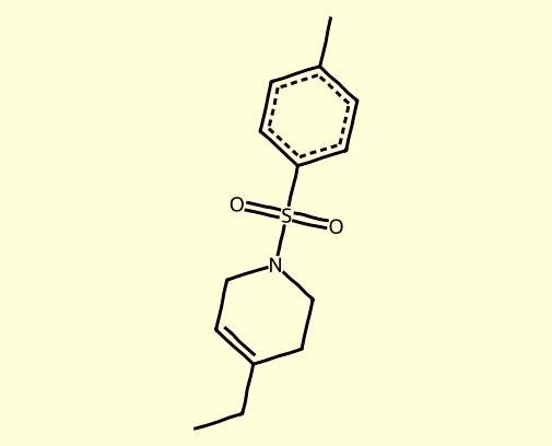 CCC1=CCN(S(=O)(=O)c2ccc(C)cc2)CC1